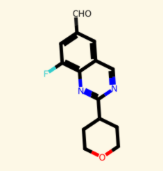 O=Cc1cc(F)c2nc(C3CCOCC3)ncc2c1